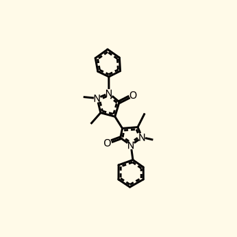 Cc1c(-c2c(C)n(C)n(-c3ccccc3)c2=O)c(=O)n(-c2ccccc2)n1C